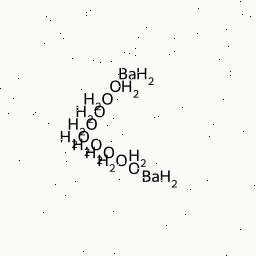 O.O.O.O.O.O.O.O.O.[BaH2].[BaH2]